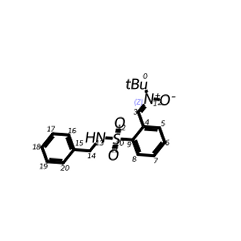 CC(C)(C)/[N+]([O-])=C/c1ccccc1S(=O)(=O)NCc1ccccc1